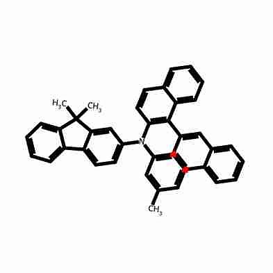 Cc1cccc(N(c2ccc3c(c2)C(C)(C)c2ccccc2-3)c2ccc3ccccc3c2-c2ccc3ccccc3c2)c1